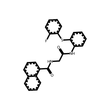 O=C(CNC(=O)c1cccc2ccccc12)Nc1ccccc1Sc1ccccc1F